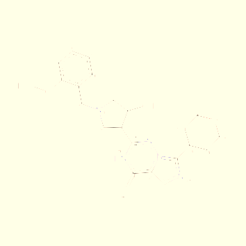 COc1ccccc1CN1CC(C)C(c2nn3c(C4CCOCC4)ncc3c(=O)[nH]2)C1